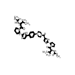 COC(=O)N[C@H](C(=O)N1CCC[C@H]1c1ncc(C(=O)N2CCN(c3ccc(-c4cnc([C@@H]5CCCN5C(=O)[C@@H](NC(=O)OC)C(C)C)[nH]4)cc3)CC2)[nH]1)C(C)C